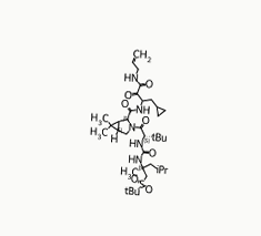 C=CCNC(=O)C(=O)C(CC1CC1)NC(=O)[C@@H]1C2[C@H](CN1C(=O)[C@@H](NC(=O)N[C@@](C)(CC(C)C)CS(=O)(=O)C(C)(C)C)C(C)(C)C)C2(C)C